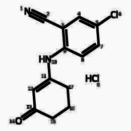 Cl.N#Cc1cc(Cl)ccc1NC1=CC(=O)CCC1